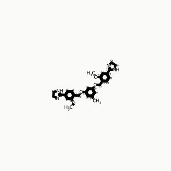 COc1cc(C2=NCCN2)ccc1COc1cc(C)cc(OCc2ccc(C3=NCCN3)cc2OC)c1